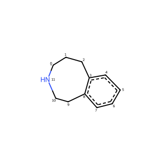 [CH]1CCc2ccccc2CCN1